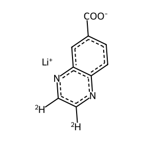 [2H]c1nc2ccc(C(=O)[O-])cc2nc1[2H].[Li+]